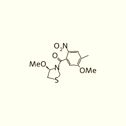 COc1cc(C(=O)N2CSC[C@H]2OC)c([N+](=O)[O-])cc1C